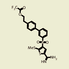 CSc1sc(C(=N)N)cc1S(=O)(=O)c1cccc(-c2ccc(CCOC(=O)C(F)(F)F)cc2)c1